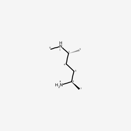 CN[C@H](C)CC[C@@H](C)N